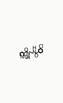 O=C(NCCNC(=O)c1cccnc1Cl)c1cccc(Cl)c1